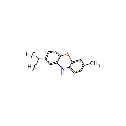 Cc1ccc2c(c1)Sc1ccc(C(C)C)cc1N2